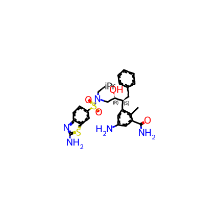 Cc1c(C(N)=O)cc(N)cc1[C@H](Cc1ccccc1)[C@@H](O)CN(CC(C)C)S(=O)(=O)c1ccc2nc(N)sc2c1